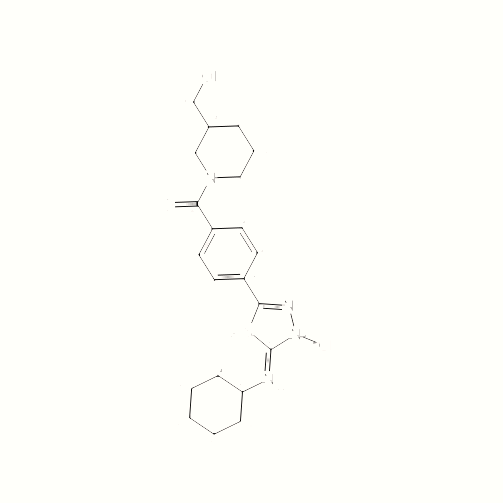 Cn1nc(-c2ccc(C(=O)N3CCCC(CO)C3)cc2)sc1=NC1CCCCC1